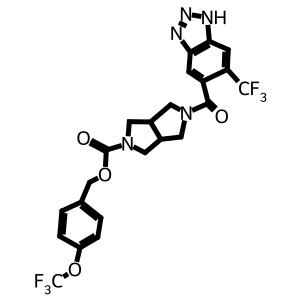 O=C(OCc1ccc(OC(F)(F)F)cc1)N1CC2CN(C(=O)c3cc4nn[nH]c4cc3C(F)(F)F)CC2C1